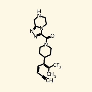 C#C/C=C\C(=C(/C)C(F)(F)F)C1CCN(C(=O)c2nnc3n2CCNC3)CC1